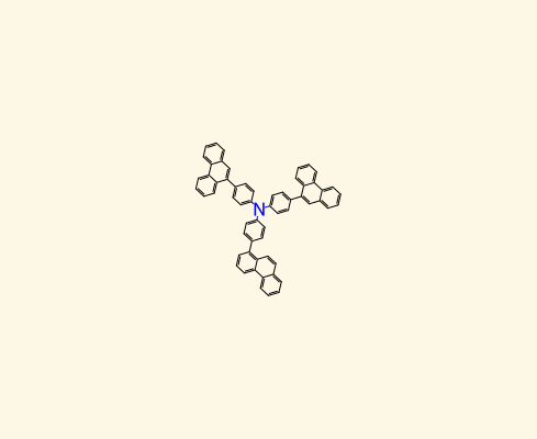 c1ccc2c(c1)ccc1c(-c3ccc(N(c4ccc(-c5cc6ccccc6c6ccccc56)cc4)c4ccc(-c5cc6ccccc6c6ccccc56)cc4)cc3)cccc12